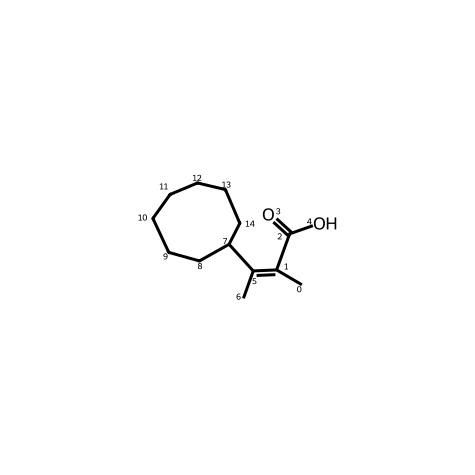 CC(C(=O)O)=C(C)C1CCCCCCC1